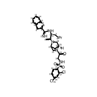 C=C([C@H](CC(C)C)NC(=N)c1cc2ccccc2s1)N1C[C@@H]2CC1CN2C(=O)CNS(=O)(=O)c1ccc(Cl)cc1Cl